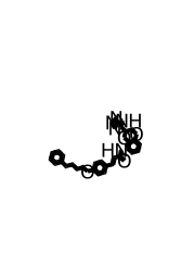 O=C(/C=C/c1ccc(OCCCCc2ccccc2)cc1)Nc1cccc2c1OC(c1nnn[nH]1)CO2